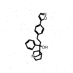 OC(CCc1ccc(-c2ccno2)cc1)(c1ccccc1)C1CN2CCC1CC2